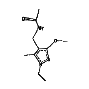 CCn1nc(OC)c(CNC(C)=O)c1C